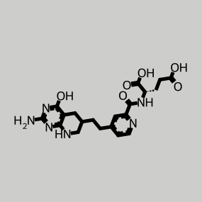 Nc1nc(O)c2c(n1)NCC(CCc1ccnc(C(=O)N[C@@H](CCC(=O)O)C(=O)O)c1)C2